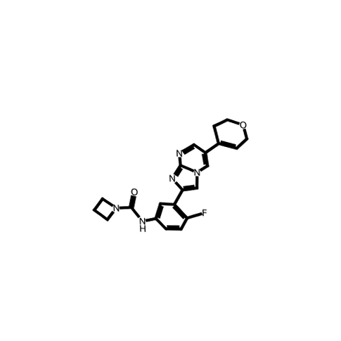 O=C(Nc1ccc(F)c(-c2cn3cc(C4=CCOCC4)cnc3n2)c1)N1CCC1